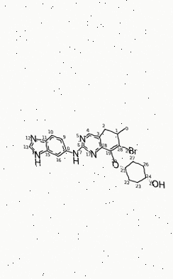 CC1Cc2cnc(Nc3ccc4nc[nH]c4c3)nc2C(O[C@H]2CC[C@@H](O)CC2)=C1Br